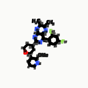 COc1ncccc1[C@H]1C[C@@H](c2nc(-c3ccc(F)cc3F)c3nc(C)c(C)nc3n2)CCO1